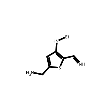 CCNc1cc(CN)sc1C=N